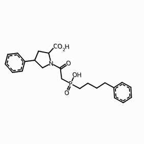 O=C(O)C1CC(c2ccccc2)CN1C(=O)CP(=O)(O)CCCCc1ccccc1